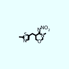 Cc1ncc(CC2COCN(C)/C2=N\[N+](=O)[O-])s1